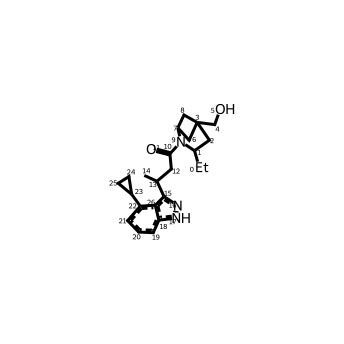 CCC1CC2(CO)CC(C2)N1C(=O)CC(C)c1n[nH]c2cccc(C3CC3)c12